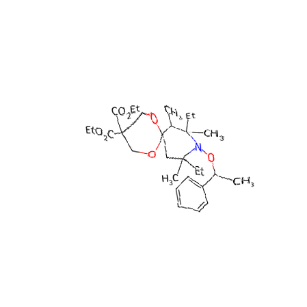 CCOC(=O)C1(C(=O)OCC)COC2(CC(C)(CC)N(OC(C)c3ccccc3)C(C)(CC)C2C)OC1